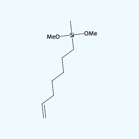 C=CCCCCC[Si](C)(OC)OC